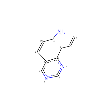 C=CCc1ncncc1/C=C\CN